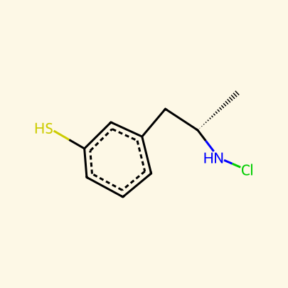 C[C@@H](Cc1cccc(S)c1)NCl